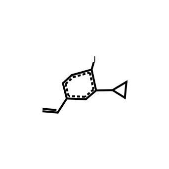 C=Cc1ccc(I)c(C2CC2)c1